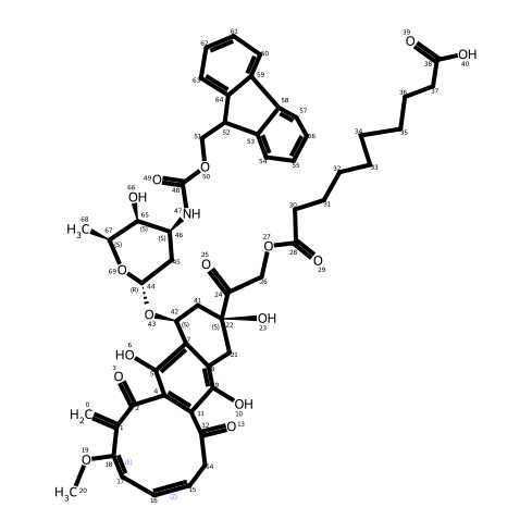 C=C1C(=O)c2c(O)c3c(c(O)c2C(=O)C/C=C\C=C/1OC)C[C@@](O)(C(=O)COC(=O)CCCCCCCCC(=O)O)C[C@@H]3O[C@H]1C[C@H](NC(=O)OCC2c3ccccc3-c3ccccc32)[C@H](O)[C@H](C)O1